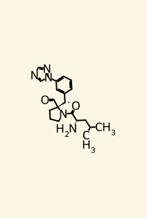 CC(C)C[C@H](N)C(=O)N1CCC[C@]1([CH]c1cccc(-n2cncn2)c1)C=O